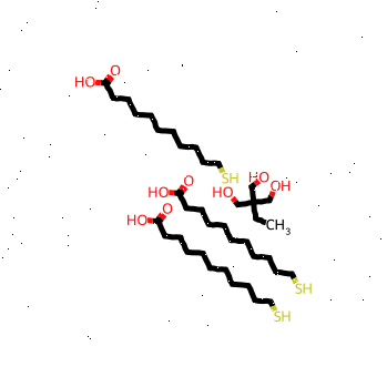 CCC(CO)(CO)CO.O=C(O)CCCCCCCCCCS.O=C(O)CCCCCCCCCCS.O=C(O)CCCCCCCCCCS